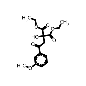 CCOC(=O)C(O)(CC(=O)c1cccc(OC)c1)C(=O)OCC